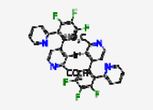 O=C(O)c1nccc(-c2cc(F)c(F)c(F)c2-c2ccccn2)[c]1[Ir+][c]1c(-c2cc(F)c(F)c(F)c2-c2ccccn2)ccnc1C(=O)O